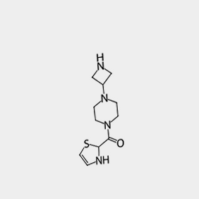 O=C(C1NC=CS1)N1CCN(C2CNC2)CC1